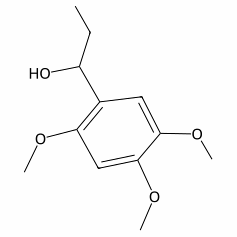 CCC(O)c1cc(OC)c(OC)cc1OC